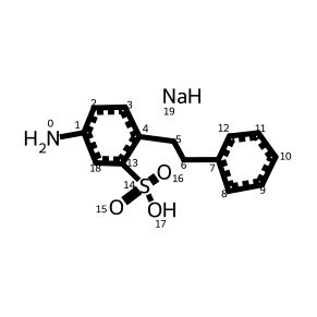 Nc1ccc(CCc2ccccc2)c(S(=O)(=O)O)c1.[NaH]